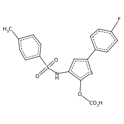 Cc1ccc(S(=O)(=O)Nc2cc(-c3ccc(F)cc3)sc2OC(=O)O)cc1